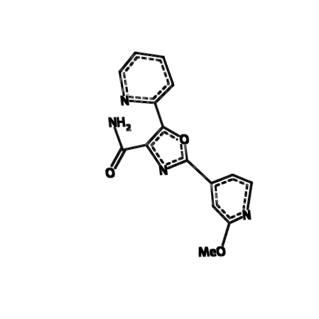 COc1cc(-c2nc(C(N)=O)c(-c3ccccn3)o2)ccn1